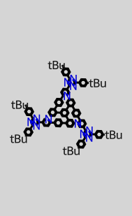 CC(C)(C)c1ccc(-c2nc(-c3ccc(C(C)(C)C)cc3)nc(-c3ccc(-c4ccc(-c5ccccc5-c5cc(-c6ccccc6-c6ccc(-c7ccc(-c8nc(-c9ccc(C(C)(C)C)cc9)nc(-c9ccc(C(C)(C)C)cc9)n8)cn7)cc6)cc(-c6ccccc6-c6ccc(-c7ccc(-c8nc(-c9ccc(C(C)(C)C)cc9)nc(-c9ccc(C(C)(C)C)cc9)n8)cn7)cc6)c5)cc4)nc3)n2)cc1